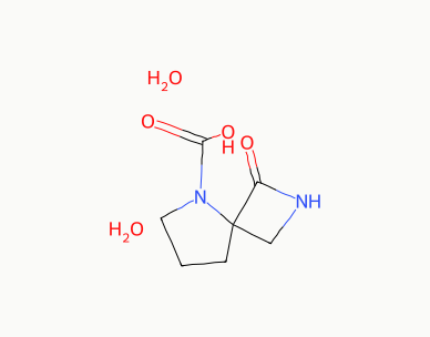 O.O.O=C(O)N1CCCC12CNC2=O